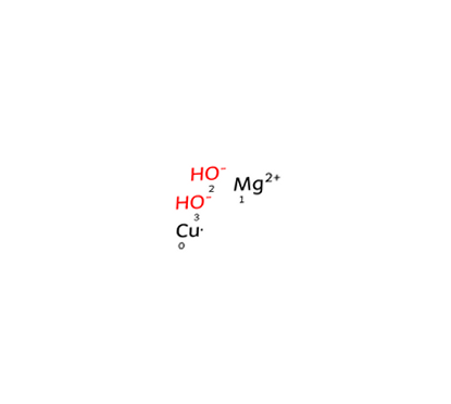 [Cu].[Mg+2].[OH-].[OH-]